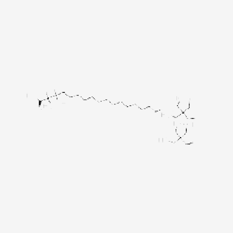 CCC(CO)(CO)CO.CCC(CO)(CO)CO.CCCCCCCCCCCCCCCC(O)(O)C(O)(O)C(=O)O